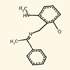 CNc1cccc(Cl)c1C/N=C(/C)c1ccccc1